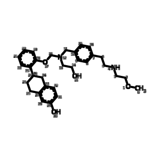 COCCNCCc1ccc(CN(CCO)COc2ccccc2[C@@H]2CCc3cc(O)ccc3C2)cc1